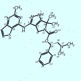 Cc1nc(Nc2n[nH]c3c2CN(C(=O)O[C@H](CN(C)C)c2ccccc2)C3(C)C)c2sccc2n1